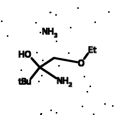 CCOCC(N)(O)C(C)(C)C.N